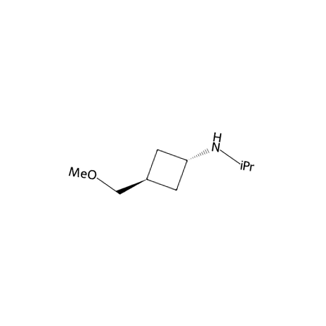 COC[C@H]1C[C@H](NC(C)C)C1